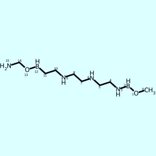 COBNCCNCCNCCBOCN